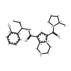 CC[C@@H](NC(=O)c1cc(C(=O)N2CCCC2C)n2c1COCC2)c1ccccc1Cl